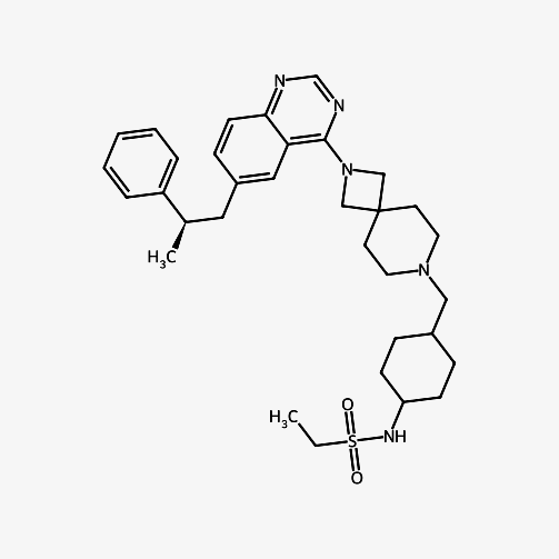 CCS(=O)(=O)NC1CCC(CN2CCC3(CC2)CN(c2ncnc4ccc(C[C@@H](C)c5ccccc5)cc24)C3)CC1